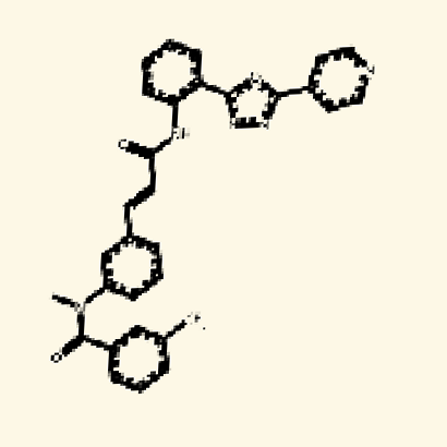 CN(C(=O)c1cccc(C(F)(F)F)c1)c1cccc(C=CC(=O)Nc2ccccc2-c2nnc(-c3ccncc3)o2)c1